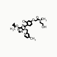 Cc1ccnc(Cn2c(-c3ccc(OCC(=O)N(C)CCO)cc3Cl)nc3c(OC4(C)CC4)ncnc32)c1